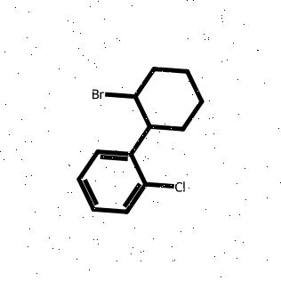 Clc1ccccc1C1CCCCC1Br